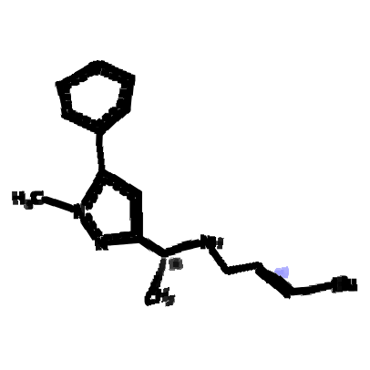 C[C@@H](NC/C=C/C(C)(C)C)c1cc(-c2ccccc2)n(C)n1